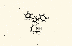 O=C1CCCCC(CC2CC(c3ccccc3)=NN2c2ccccc2)N1